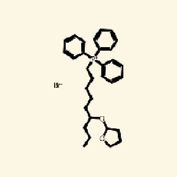 CCCC(CCCCC[P+](c1ccccc1)(c1ccccc1)c1ccccc1)OC1CCCO1.[Br-]